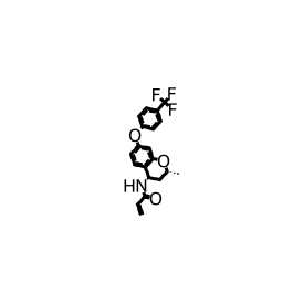 C=CC(=O)N[C@H]1C[C@@H](C)Oc2cc(Oc3ccc(C(F)(F)F)cc3)ccc21